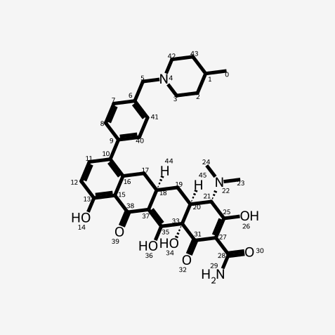 CC1CCN(Cc2ccc(-c3ccc(O)c4c3C[C@H]3C[C@H]5[C@H](N(C)C)C(O)=C(C(N)=O)C(=O)[C@@]5(O)C(O)=C3C4=O)cc2)CC1